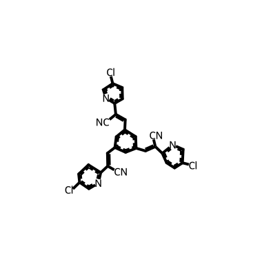 N#C/C(=C\c1cc(/C=C(\C#N)c2ccc(Cl)cn2)cc(/C=C(\C#N)c2ccc(Cl)cn2)c1)c1ccc(Cl)cn1